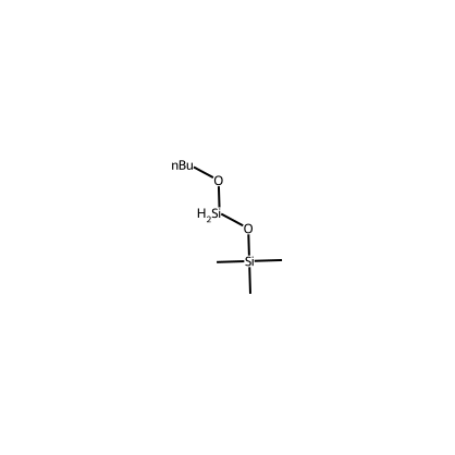 CCCCO[SiH2]O[Si](C)(C)C